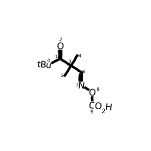 CC(C)(C)C(=O)C(C)(C)C=NOC(=O)O